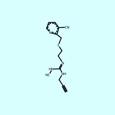 C#CCN/C(=N/CCSCc1ncccc1C#N)NC#N